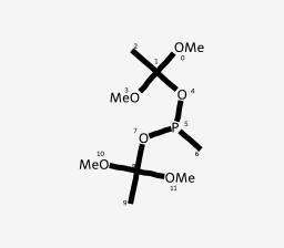 COC(C)(OC)OP(C)OC(C)(OC)OC